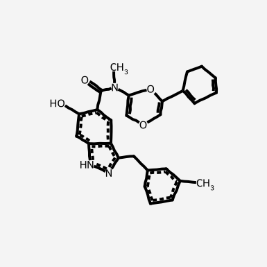 Cc1cccc(Cc2n[nH]c3cc(O)c(C(=O)N(C)C4=COC=C(C5=CC=CCC5)O4)cc23)c1